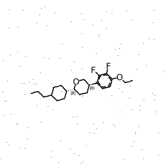 CCCC1CCC([C@H]2CC[C@H](c3ccc(OCC)c(F)c3F)CO2)CC1